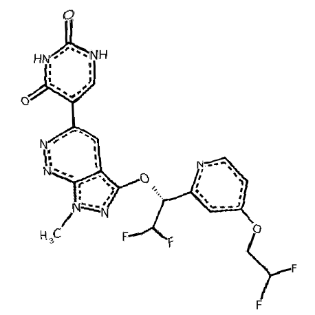 Cn1nc(O[C@H](c2cc(OCC(F)F)ccn2)C(F)F)c2cc(-c3c[nH]c(=O)[nH]c3=O)nnc21